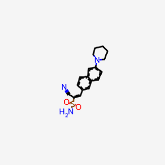 N#C/C(=C\c1ccc2cc(N3CCCCC3)ccc2c1)S(N)(=O)=O